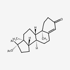 CC(=O)O[C@@]1(C(C)=O)CC[C@H]2[C@@H]3CCC4=CC(=O)CC[C@]4(C)[C@H]3CC[C@@]21C